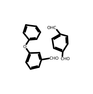 O=Cc1ccc(C=O)cc1.O=Cc1cccc(Oc2ccccc2)c1